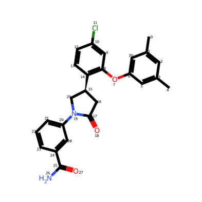 Cc1cc(C)cc(Oc2cc(Cl)ccc2[C@H]2CC(=O)N(c3cccc(C(N)=O)c3)C2)c1